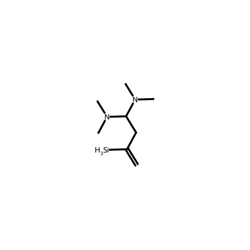 C=C([SiH3])CC(N(C)C)N(C)C